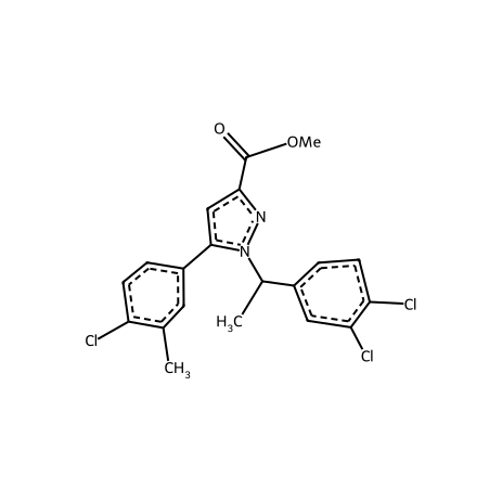 COC(=O)c1cc(-c2ccc(Cl)c(C)c2)n(C(C)c2ccc(Cl)c(Cl)c2)n1